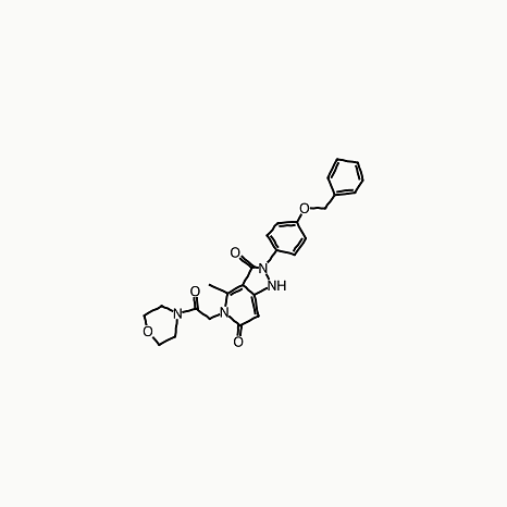 Cc1c2c(=O)n(-c3ccc(OCc4ccccc4)cc3)[nH]c2cc(=O)n1CC(=O)N1CCOCC1